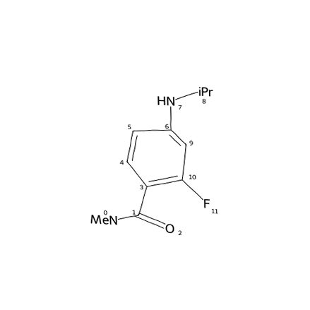 CNC(=O)c1ccc(NC(C)C)cc1F